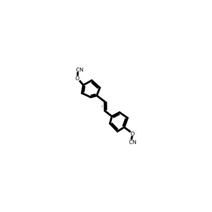 N#COc1ccc(/C=C/c2ccc(OC#N)cc2)cc1